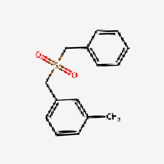 Cc1cccc(CS(=O)(=O)Cc2ccccc2)c1